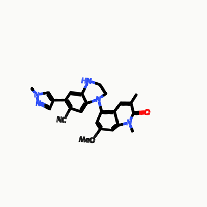 COc1cc(N2CCNc3cc(-c4cnn(C)c4)c(C#N)cc32)c2cc(C)c(=O)n(C)c2c1